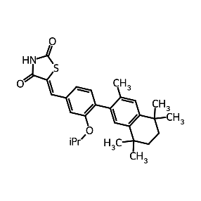 Cc1cc2c(cc1-c1ccc(/C=C3\SC(=O)NC3=O)cc1OC(C)C)C(C)(C)CCC2(C)C